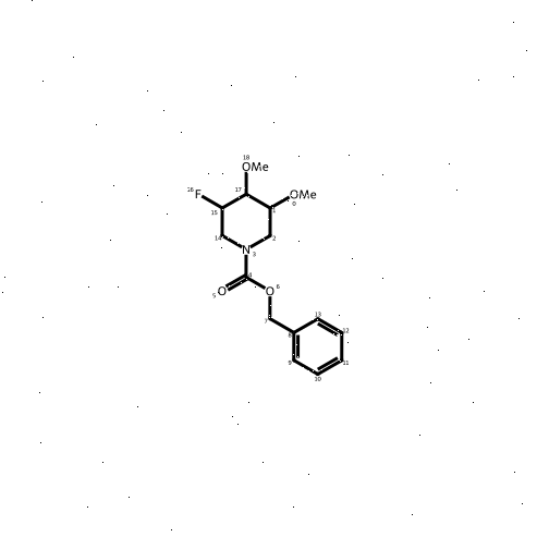 COC1CN(C(=O)OCc2ccccc2)CC(F)C1OC